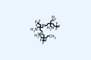 CCCC(CN)(CNCCC(CN)(CNCCC(CN)(CN)CCC(F)(F)F)CC(F)(F)F)C(F)(F)F